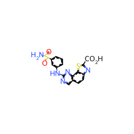 NS(=O)(=O)c1cccc(Nc2ncc3ccc4nc(C(=O)O)sc4c3n2)c1